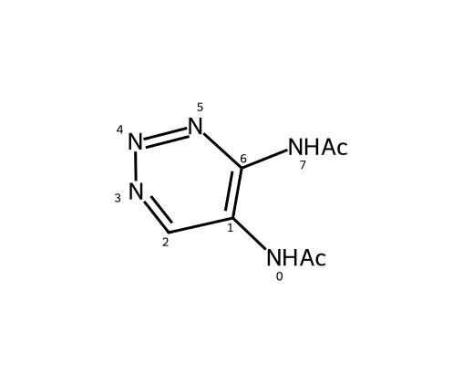 CC(=O)Nc1cnnnc1NC(C)=O